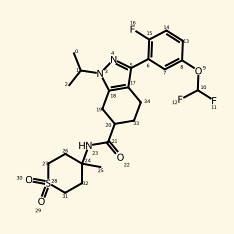 CC(C)n1nc(-c2cc(OC(F)F)ccc2F)c2c1CC(C(=O)NC1(C)CCS(=O)(=O)CC1)CC2